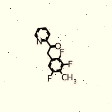 Cc1c(F)cc(CC(=O)c2ccccn2)c(F)c1F